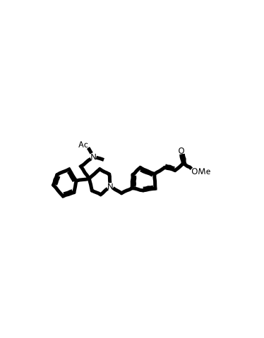 COC(=O)/C=C/c1ccc(CN2CCC(CN(C)C(C)=O)(c3ccccc3)CC2)cc1